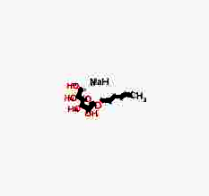 CCCCCCO[C@H]1O[C@@H]([C@@H](O)CO)[C@H](O)[C@H]1O.[NaH]